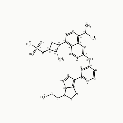 COCC1CCc2c(-c3nccc(Nc4cc5c(C(C)C)ccc(N6C[C@H](CS(C)(=O)=O)[C@H]6N)c5cn4)n3)cnn21